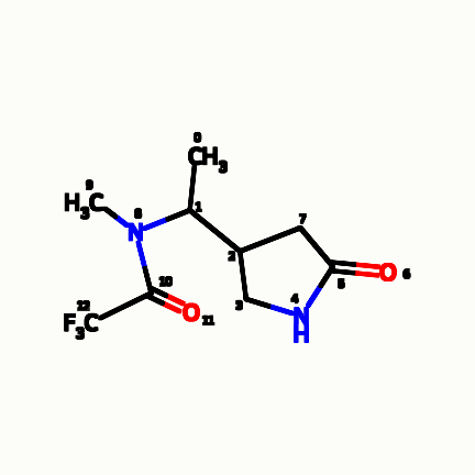 CC(C1CNC(=O)C1)N(C)C(=O)C(F)(F)F